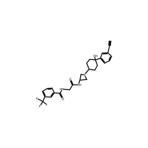 C#Cc1cccc(C2(O)CCC(N3CC(NC(=O)CNC(=O)c4cccc(C(F)(F)F)c4)C3)CC2)c1